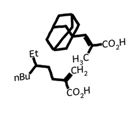 C=C(CCC(CC)CCCC)C(=O)O.CC(=CC12CC3CC(CC(C3)C1)C2)C(=O)O